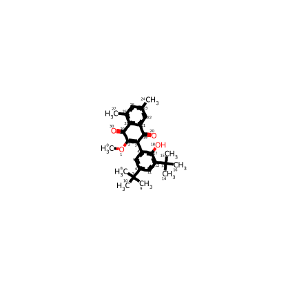 COC1=C(c2cc(C(C)(C)C)cc(C(C)(C)C)c2O)C(=O)c2cc(C)cc(C)c2C1=O